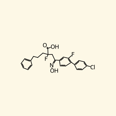 O=C(O)C(F)(CCCc1ccccc1)CC(=NO)c1ccc(-c2ccc(Cl)cc2)c(F)c1